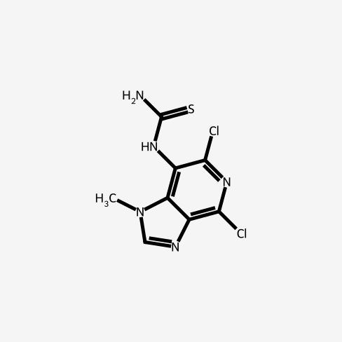 Cn1cnc2c(Cl)nc(Cl)c(NC(N)=S)c21